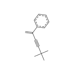 C=C(C#CC(C)(C)C)c1ccccc1